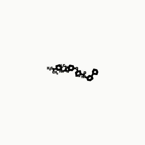 CC(C)c1cccc(Nc2nc3cc(Oc4ccnc(C(=O)Nc5cccc(-c6ccccc6)c5)c4)ccc3n2C)c1